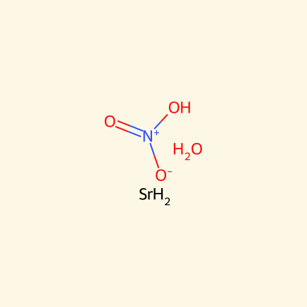 O.O=[N+]([O-])O.[SrH2]